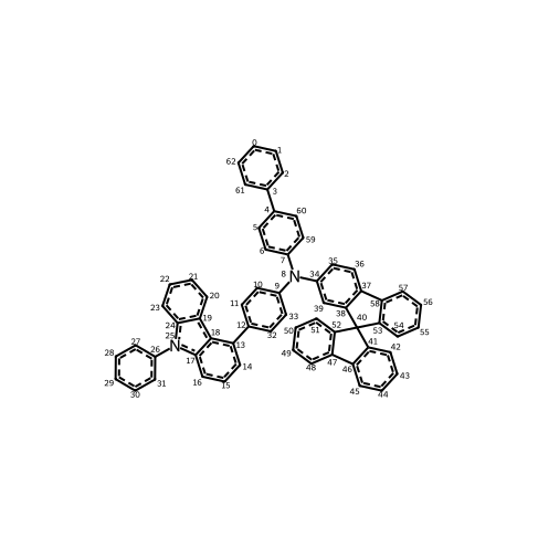 c1ccc(-c2ccc(N(c3ccc(-c4cccc5c4c4ccccc4n5-c4ccccc4)cc3)c3ccc4c(c3)C3(c5ccccc5-c5ccccc53)c3ccccc3-4)cc2)cc1